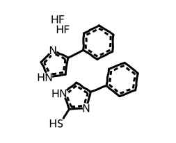 F.F.Sc1nc(-c2ccccc2)c[nH]1.c1ccc(-c2c[nH]cn2)cc1